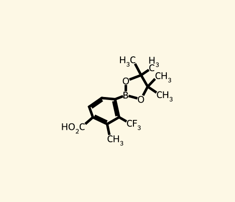 Cc1c(C(=O)O)ccc(B2OC(C)(C)C(C)(C)O2)c1C(F)(F)F